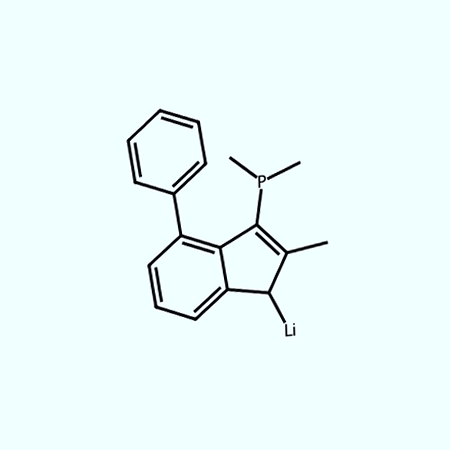 [Li][CH]1C(C)=C(P(C)C)c2c(-c3ccccc3)cccc21